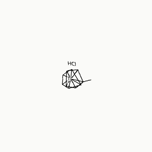 C[C]12[CH]3[CH]4[CH]5[CH]1[Ti]45321678[CH]2[CH]1[CH]6[CH]7[CH]28.Cl